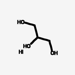 I.OCC(O)CO